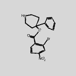 O=C(OC1(c2ccccc2)CCNCC1)c1ccc([N+](=O)[O-])cc1Br